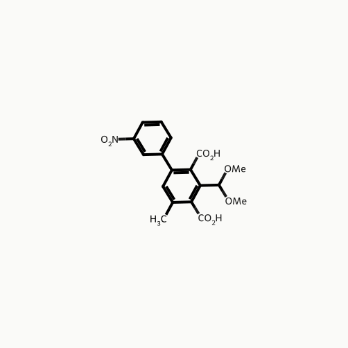 COC(OC)c1c(C(=O)O)c(C)cc(-c2cccc([N+](=O)[O-])c2)c1C(=O)O